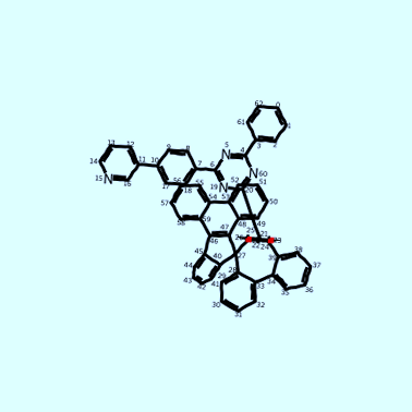 c1ccc(-c2nc(-c3ccc(-c4cccnc4)cc3)nc(-c3ccc4c(c3)C3(c5ccccc5-c5ccccc5-4)c4ccccc4-c4c3c3ccccc3c3ccccc43)n2)cc1